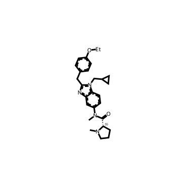 CCOc1ccc(Cc2nc3cc(N(C)C(=O)[C@@H]4CCCN4C)ccc3n2CC2CC2)cc1